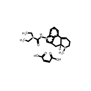 CCN(CC)C(=O)Nn1cc2c3c(cccc31)C1=CCCN(C)[C@@H]1C2.O=C(O)/C=C\C(=O)O